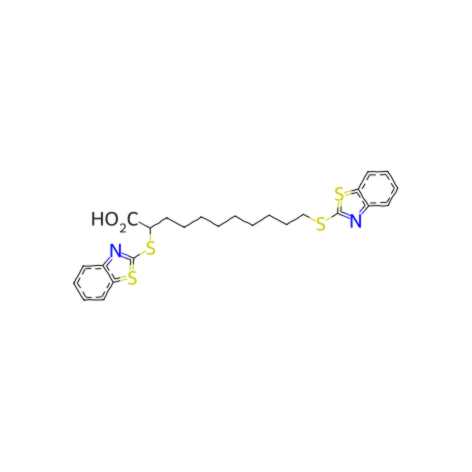 O=C(O)C(CCCCCCCCCSc1nc2ccccc2s1)Sc1nc2ccccc2s1